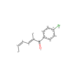 C/C=C\C=C(/C)C(=O)c1ccc(Br)cc1